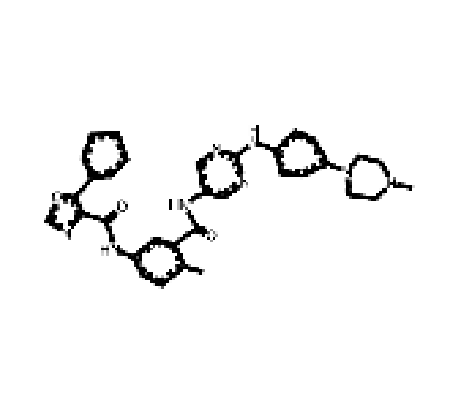 Cc1ccc(NC(=O)c2ncoc2-c2ccccc2)cc1C(=O)Nc1cnc(Nc2ccc(N3CCN(C)CC3)cc2)nc1